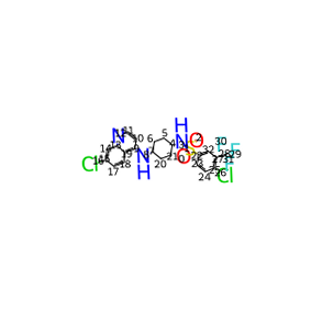 O=S(=O)(N[C@H]1CC[C@@H](Nc2ccnc3cc(Cl)ccc23)CC1)c1ccc(Cl)c(C(F)(F)F)c1